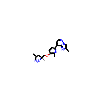 Cc1cn2nccc(-c3ccc(OC[C@@](C)(N)CC(C)C)c(C)n3)c2n1